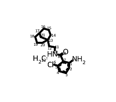 Nc1cccc(Cl)c1C(=O)NCCC12CCCC(CCC1)C2.[CH2]